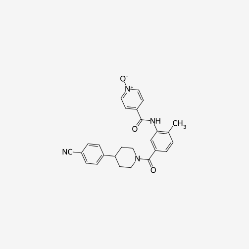 Cc1ccc(C(=O)N2CCC(c3ccc(C#N)cc3)CC2)cc1NC(=O)c1cc[n+]([O-])cc1